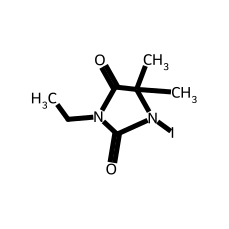 CCN1C(=O)N(I)C(C)(C)C1=O